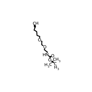 C#CCCCCOCCOCCNC(=O)OC(C)(C)C